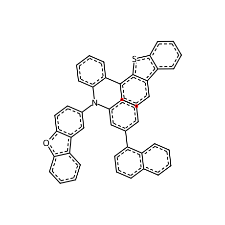 c1cc(-c2cccc3ccccc23)cc(N(c2ccc3oc4ccccc4c3c2)c2ccccc2-c2cccc3c2sc2ccccc23)c1